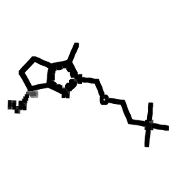 Cc1c2c(nn1COCC[Si](C)(C)C)[C@H](N)CC2